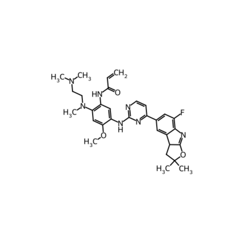 C=CC(=O)Nc1cc(Nc2nccc(-c3cc(F)c4c(c3)C3CC(C)(C)OC3=N4)n2)c(OC)cc1N(C)CCN(C)C